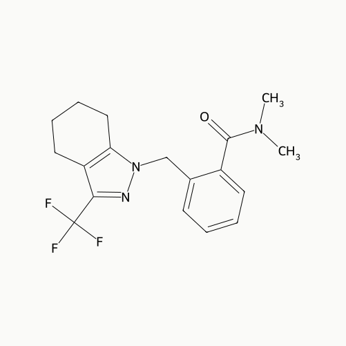 CN(C)C(=O)c1ccccc1Cn1nc(C(F)(F)F)c2c1CCCC2